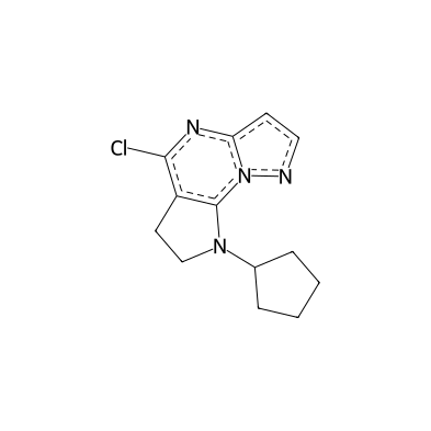 Clc1nc2ccnn2c2c1CCN2C1CCCC1